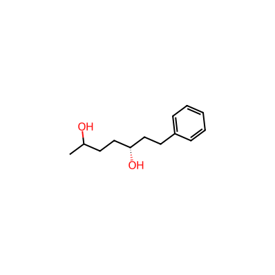 CC(O)CC[C@@H](O)CCc1ccccc1